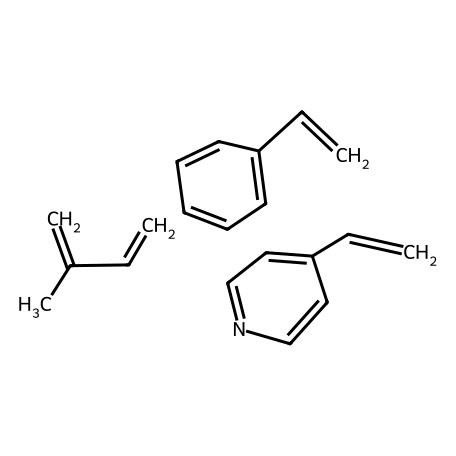 C=CC(=C)C.C=Cc1ccccc1.C=Cc1ccncc1